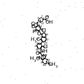 COc1c(CN2CCC(C(=O)O)C2)cc(Cl)c(OC2CCc3ccc(-c4cccc(NC(=O)c5nc6c(n5C)CCN(C)C6)c4Cl)c(C)c32)c1F